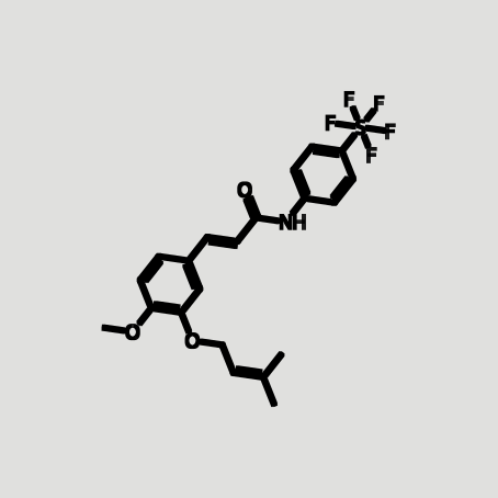 COc1ccc(/C=C/C(=O)Nc2ccc(S(F)(F)(F)(F)F)cc2)cc1OCC=C(C)C